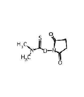 CN(C)C(=S)ON1C(=O)CCC1=O